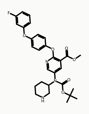 COC(=O)c1cc(N(C(=O)OC(C)(C)C)C2CCCNC2)cnc1Oc1ccc(Oc2cccc(F)c2)cc1